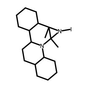 CC12C3CCCCC3C3CCC4CCCCC4N3C1(C)N2I